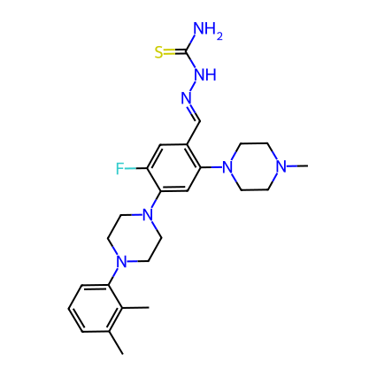 Cc1cccc(N2CCN(c3cc(N4CCN(C)CC4)c(C=NNC(N)=S)cc3F)CC2)c1C